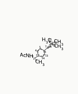 CC(=O)N[C@@H](C)c1ccc(C#C[Si](C)(C)C)cc1